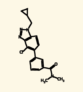 CN(C)C(=O)c1cccc(-c2ccc3c(nnn3CC3CC3)c2Cl)c1